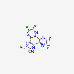 N#Cc1nc2c3nc(F)c(F)nc3c3nc(F)c(F)nc3c2nc1C#N